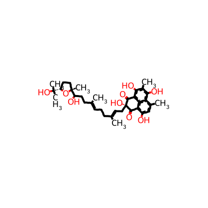 C/C(=C\C[C@]1(O)C(=O)c2c(O)cc(C)c3c(O)c(C)c(O)c(c23)C1=O)CC/C=C(\C)CCC(O)[C@@]1(C)CC[C@@H](C(C)(C)O)O1